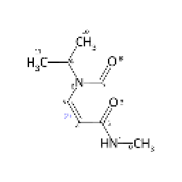 CNC(=O)/C=C\N(C=O)C(C)C